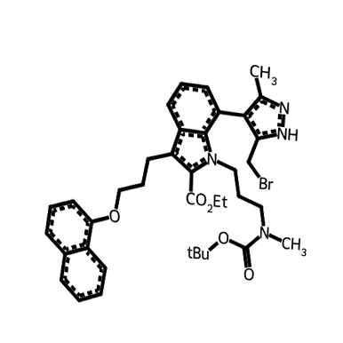 CCOC(=O)c1c(CCCOc2cccc3ccccc23)c2cccc(-c3c(C)n[nH]c3CBr)c2n1CCCN(C)C(=O)OC(C)(C)C